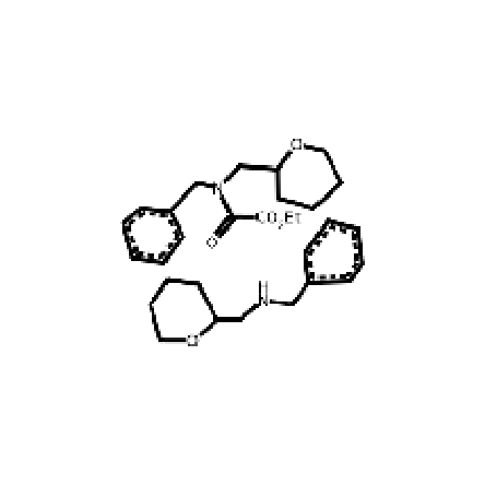 CCOC(=O)C(=O)N(Cc1ccccc1)CC1CCCCO1.c1ccc(CNCC2CCCCO2)cc1